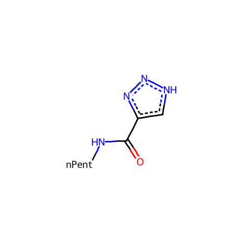 CCCCCNC(=O)c1c[nH]nn1